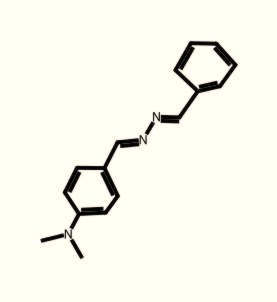 CN(C)c1ccc(C=NN=Cc2ccccc2)cc1